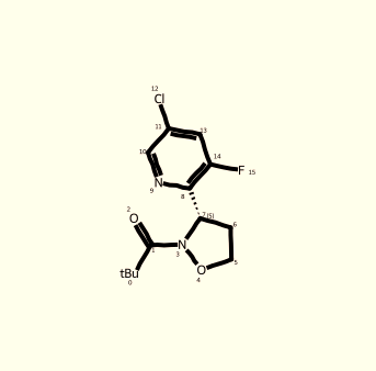 CC(C)(C)C(=O)N1OCC[C@H]1c1ncc(Cl)cc1F